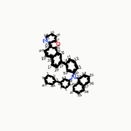 c1ccc(-c2cccc(N(c3cccc(-c4ccc5ccc6c7ncccc7oc6c5c4)c3)c3cccc4ccccc34)c2)cc1